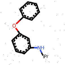 CC(C)Nc1cccc(Oc2ccccc2)c1